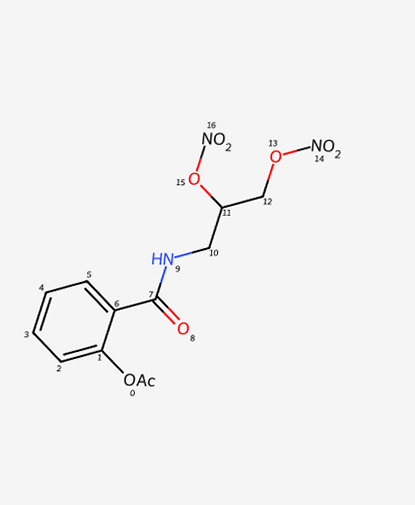 CC(=O)Oc1ccccc1C(=O)NCC(CO[N+](=O)[O-])O[N+](=O)[O-]